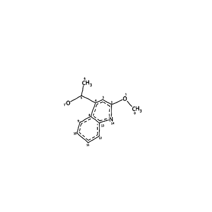 COc1cc(C(C)[O])c2ccccc2n1